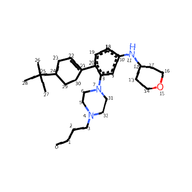 CCCCN1CCN(c2cc(NC3CCOCC3)ccc2C2=CCC(C(C)(C)C)CC2)CC1